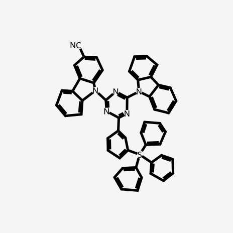 N#Cc1ccc2c(c1)c1ccccc1n2-c1nc(-c2cccc(S(c3ccccc3)(c3ccccc3)c3ccccc3)c2)nc(-n2c3ccccc3c3ccccc32)n1